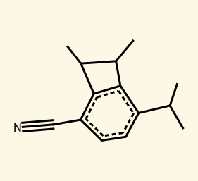 CC(C)c1ccc(C#N)c2c1C(C)C2C